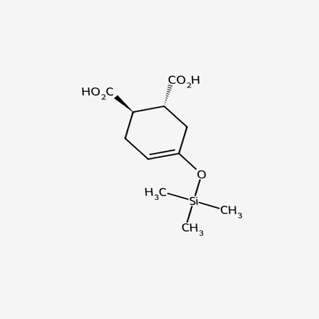 C[Si](C)(C)OC1=CC[C@@H](C(=O)O)[C@H](C(=O)O)C1